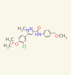 COCc1ccc(NC(=O)c2cc(-c3ccc(OC(C)C)c(Cl)c3)n(C)n2)cc1